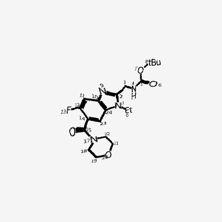 CCn1c(CNC(=O)OC(C)(C)C)nc2cc(F)c(C(=O)N3CCOCC3)cc21